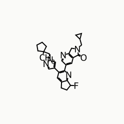 CC1(Cn2cc(-c3cc4c(nc3-c3cnc5c(c3)C(=O)N(CC3CC3)C5)C(F)CC4)cn2)CCCC1